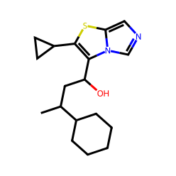 CC(CC(O)c1c(C2CC2)sc2cncn12)C1CCCCC1